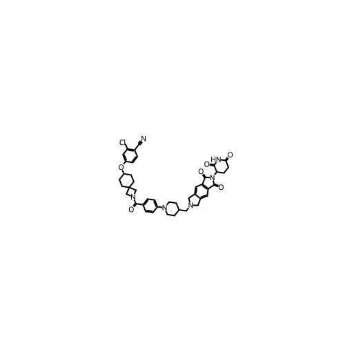 N#Cc1ccc(OC2CCC3(CC2)CN(C(=O)c2ccc(N4CCC(CN5Cc6cc7c(cc6C5)C(=O)N(C5CCC(=O)NC5=O)C7=O)CC4)cc2)C3)cc1Cl